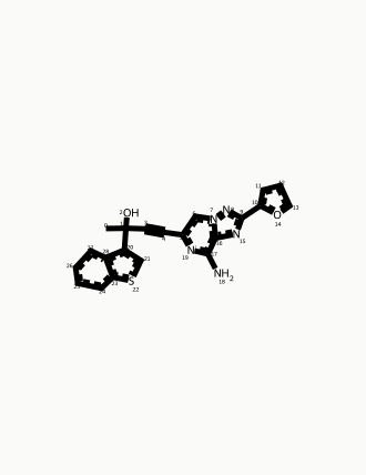 CC(O)(C#Cc1cn2nc(-c3ccco3)nc2c(N)n1)c1csc2ccccc12